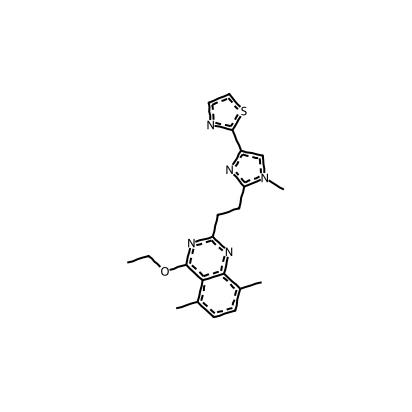 CCOc1nc(CCc2nc(-c3nccs3)cn2C)nc2c(C)ccc(C)c12